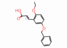 CCOc1ccc(OCc2ccccc2)cc1/C=C/C(=O)O